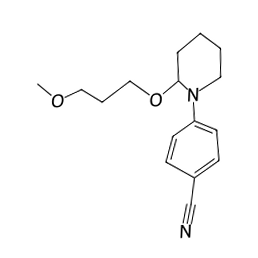 COCCCOC1CCCCN1c1ccc(C#N)cc1